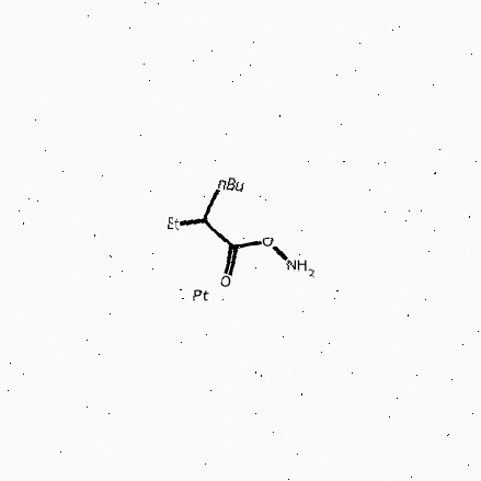 CCCCC(CC)C(=O)ON.[Pt]